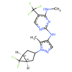 CNc1nc(Nc2cnn(C3C[C@@H]4[C@H](C3)C4(F)F)c2C)ncc1C(F)(F)F